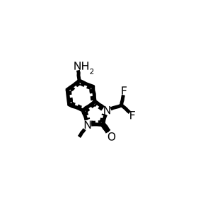 Cn1c(=O)n(C(F)F)c2cc(N)ccc21